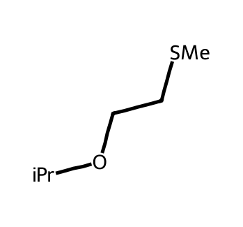 CSCCOC(C)C